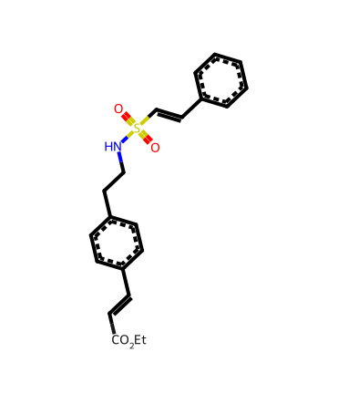 CCOC(=O)/C=C/c1ccc(CCNS(=O)(=O)C=Cc2ccccc2)cc1